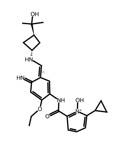 CCOC1=CC(=N)/C(=C\N[C@H]2C[C@H](C(C)(C)O)C2)C=C1NC(=O)c1cccc(C2CC2)[n+]1O